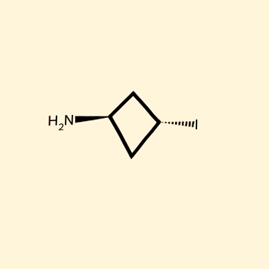 N[C@H]1C[C@H](I)C1